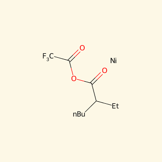 CCCCC(CC)C(=O)OC(=O)C(F)(F)F.[Ni]